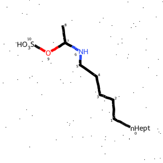 CCCCCCCCCCCCNC(C)OS(=O)(=O)O